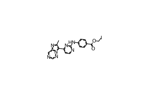 Cc1nc2cncnn2c1-c1ccnc(Nc2ccc(C(=O)OCI)cc2)n1